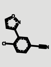 N#Cc1ccc(Cl)c(-c2ccon2)c1